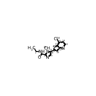 CCNC(=O)c1ncc(-c2cc3nccc(Cl)c3s2)n1C